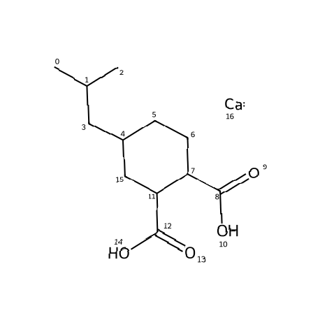 CC(C)CC1CCC(C(=O)O)C(C(=O)O)C1.[Ca]